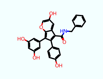 O=C(NCc1ccccc1)c1c2cc(O)coc-2c(-c2cc(O)cc(O)c2)c1-c1ccc(O)cc1